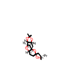 CC(C)[C@H](C)C[C@]1(O)CC[C@@H]2O[C@@H]3C[C@]2(C[C@H]2OC(C)(C)O[C@@H]32)O1